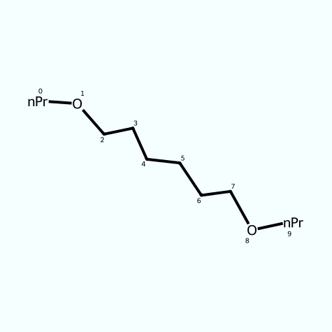 [CH2]CCOCCCCCCOCC[CH2]